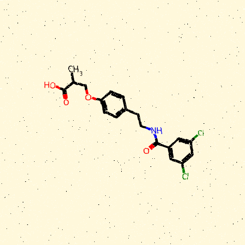 CC(COc1ccc(CCNC(=O)c2cc(Cl)cc(Cl)c2)cc1)C(=O)O